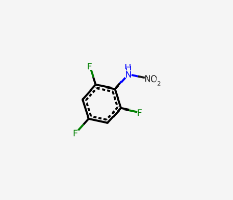 O=[N+]([O-])Nc1c(F)cc(F)cc1F